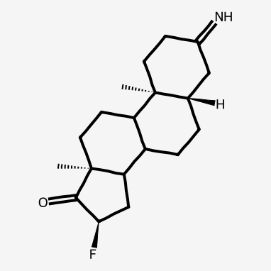 C[C@]12CCC3C(CC[C@H]4CC(=N)CC[C@]34C)C1C[C@@H](F)C2=O